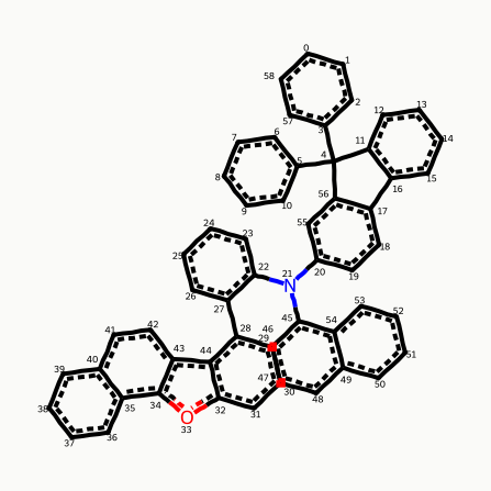 c1ccc(C2(c3ccccc3)c3ccccc3-c3ccc(N(c4ccccc4-c4cccc5oc6c7ccccc7ccc6c45)c4cccc5ccccc45)cc32)cc1